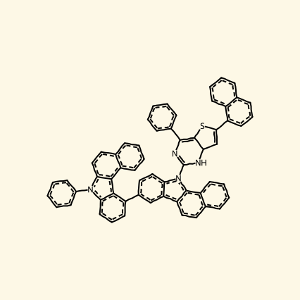 C1=C(c2cccc3ccccc23)SC2=C(c3ccccc3)N=C(n3c4ccc(-c5cccc6c5c5c7ccccc7ccc5n6-c5ccccc5)cc4c4ccc5ccccc5c43)NC12